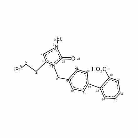 CCn1cc(CCC(C)C)n(Cc2ccc(-c3ccccc3C(=O)O)cc2)c1=O